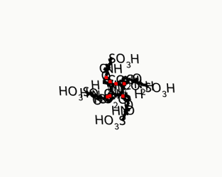 O=C(O)CN1C[C@H](Cc2ccc(OCC(=O)NCCCS(=O)(=O)O)cc2)N(CC(=O)O)C[C@H](Cc2ccc(OCC(=O)NCCCS(=O)(=O)O)cc2)N(CC(=O)O)C[C@H](Cc2ccc(OCC(=O)NCCCS(=O)(=O)O)cc2)N(CC(=O)O)C[C@@H]1Cc1ccc(OCC(=O)NCCCS(=O)(=O)O)cc1